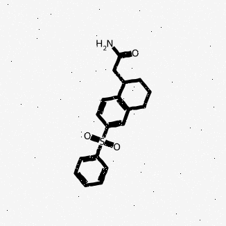 NC(=O)CC1CCCc2cc(S(=O)(=O)c3ccccc3)ccc21